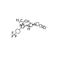 CC(C)n1nc(C2CCC(C(F)(F)F)CC2)cc1[C@H]1C2C[C@@H](N3CCC4(C3)C[S+]([O-])C4)C[C@@H]21